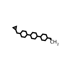 C=CC1CCC(C2CCC(C3CCC(CC4CC4)CC3)CC2)CC1